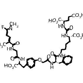 C=N/C(F)=C\C=C(/C)C(=O)NCC(=O)N[C@@H](Cc1ccc(OCC(=O)N[C@@H](Cc2ccccc2)C(=O)NCCCC[C@H](NC(=O)N[C@@H](CCC(=O)O)C(=O)O)C(=O)O)cc1)C(=O)O